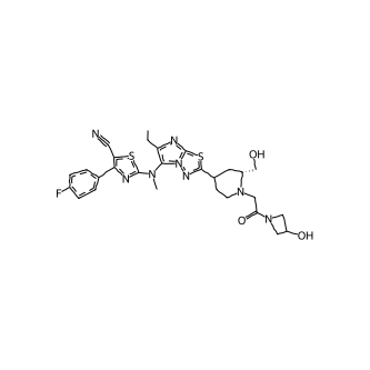 CCc1nc2sc(C3CCN(CC(=O)N4CC(O)C4)[C@@H](CO)C3)nn2c1N(C)c1nc(-c2ccc(F)cc2)c(C#N)s1